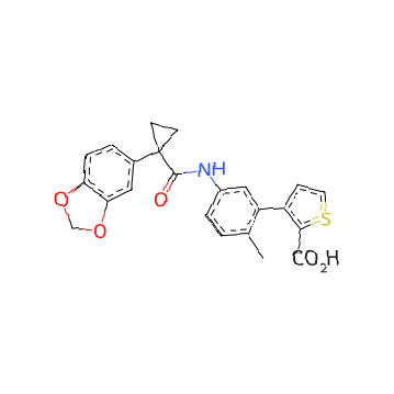 Cc1ccc(NC(=O)C2(c3ccc4c(c3)OCO4)CC2)cc1-c1ccsc1C(=O)O